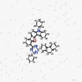 c1ccc(-c2nc(-c3ccc4c(ccc5ccccc54)c3)nc(-c3cccc4c3oc3c4ccc4c3c3ccccc3n4-c3ccccc3)n2)cc1